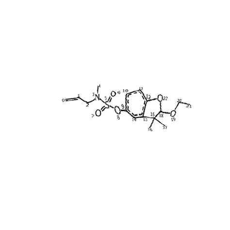 C=CCN(C)S(=O)(=O)Oc1ccc2c(c1)C(C)(C)C(OCC)O2